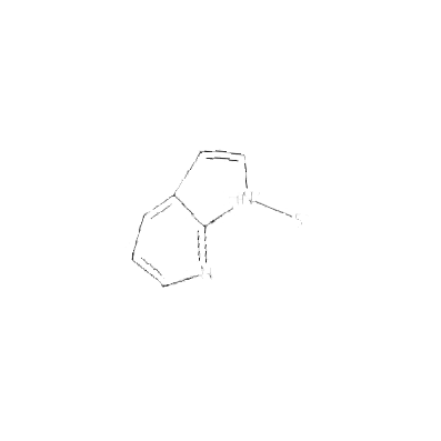 [S-][NH+]1C=Cc2cccnc21